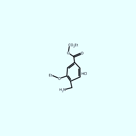 CCOC(=O)OC(=O)c1ccc(CN)c(OCC)c1.Cl